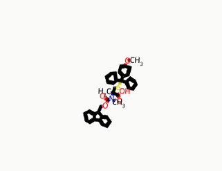 COc1ccc(C(SC[C@@](C)(C(=O)O)N(C)C(=O)OCC2c3ccccc3-c3ccccc32)(c2ccccc2)c2ccccc2)cc1